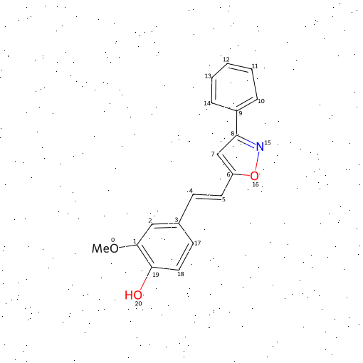 COc1cc(C=Cc2cc(-c3ccccc3)no2)ccc1O